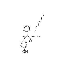 CCCCCCCCCC(CCC)C(=O)C(=Nc1ccc(O)cc1)c1ccccc1